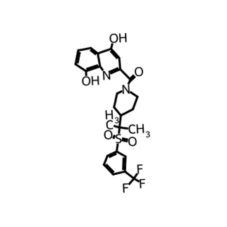 CC(C)(C1CCN(C(=O)c2cc(O)c3cccc(O)c3n2)CC1)S(=O)(=O)c1cccc(C(F)(F)F)c1